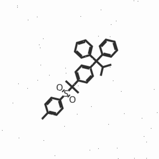 Cc1ccc(S(=O)(=O)C(C)(C)c2ccc(C(c3ccccc3)(c3ccccc3)C(C)C)cc2)cc1